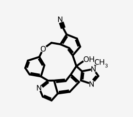 Cn1cncc1C1(O)c2ccc(C#N)c(c2)COc2cccc(c2)-c2nccc3ccc1cc23